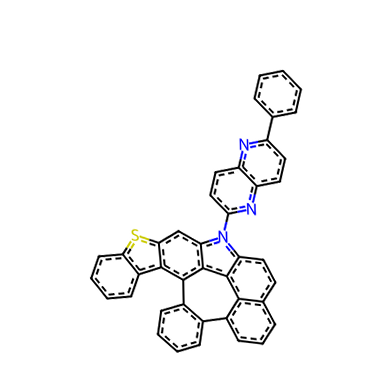 c1ccc(-c2ccc3nc(-n4c5cc6sc7ccccc7c6c6c5c5c7c(cccc7ccc54)-c4ccccc4-6)ccc3n2)cc1